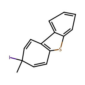 CC1(I)C=Cc2sc3ccccc3c2C=C1